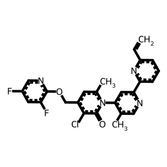 C=Cc1cccc(-c2cc(-n3c(C)cc(COc4ncc(F)cc4F)c(Cl)c3=O)c(C)cn2)n1